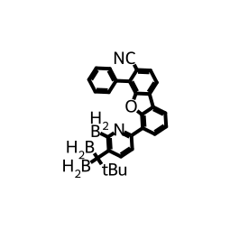 Bc1nc(-c2cccc3c2oc2c(-c4ccccc4)c(C#N)ccc23)ccc1C(B)(B)C(C)(C)C